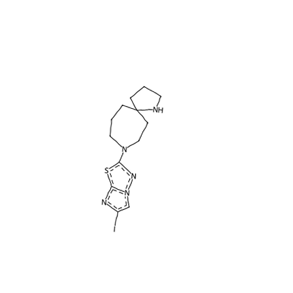 Ic1cn2nc(N3CCCC4(CCCN4)CC3)sc2n1